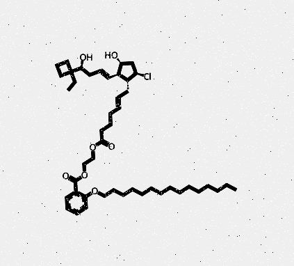 CCCCCCCCCCCCCCCOc1ccccc1C(=O)OCCOC(=O)CCCC=CC[C@@H]1[C@@H](C=CC[C@H](O)C2(CC)CCC2)[C@H](O)C[C@H]1Cl